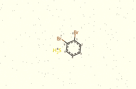 Brc1ccccc1Br.S